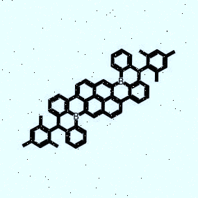 Cc1cc(C)c(C2c3ccccc3B3c4c(cccc42)-c2ccc4cc5c6c(ccc7cc3c2c4c76)-c2cccc3c2B5c2ccccc2C3c2c(C)cc(C)cc2C)c(C)c1